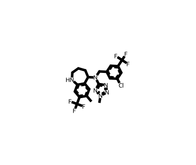 Cc1cc2c(cc1C(F)(F)F)NCCCC2N(Cc1cc(Cl)cc(C(F)(F)F)c1)c1nnn(C)n1